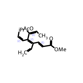 C=CC(/C=C/C(=O)OC)=C(\C=C/C(C)C)C(=C\C)/OC(C)=O